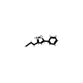 [CH2]CCc1cc(-c2ccccc2)on1